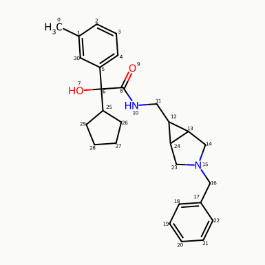 Cc1cccc(C(O)(C(=O)NCC2C3CN(Cc4ccccc4)CC23)C2CCCC2)c1